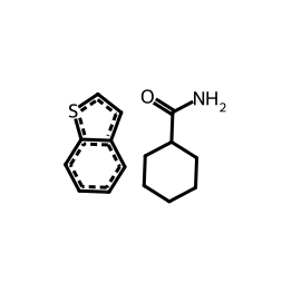 NC(=O)C1CCCCC1.c1ccc2sccc2c1